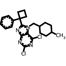 CC1CCC(Cn2c(C3(c4ccccc4)CCC3)nc3nc(Cl)nc(Cl)c32)CC1